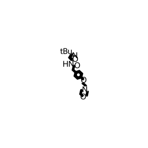 CC(C)(C)c1cc(NC(=O)Cc2ccc(OCCN3CCOCC3)cc2)on1